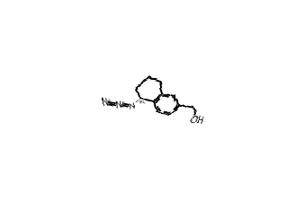 [N-]=[N+]=N[C@@H]1CCCc2cc(CO)ccc21